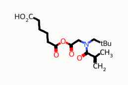 C=C(C)C(=O)N(CC(=O)OC(=O)CCCCC(=O)O)CC(C)(C)C